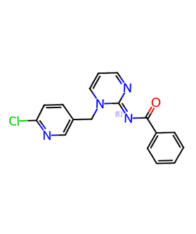 O=C(/N=c1\ncccn1Cc1ccc(Cl)nc1)c1ccccc1